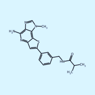 CC(C)C(=O)NCc1cccc(-c2cc3nc(N)c4ncn(C)c4c3s2)c1